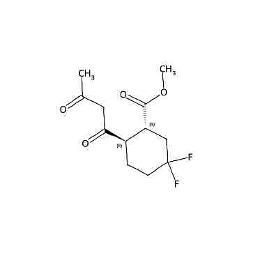 COC(=O)[C@@H]1CC(F)(F)CC[C@H]1C(=O)CC(C)=O